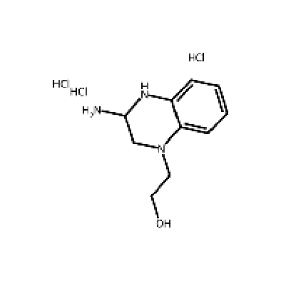 Cl.Cl.Cl.NC1CN(CCO)c2ccccc2N1